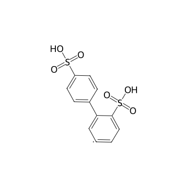 O=S(=O)(O)c1ccc(-c2c[c]ccc2S(=O)(=O)O)cc1